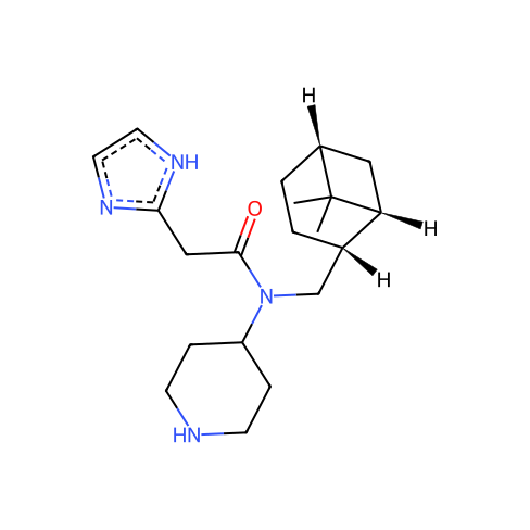 CC1(C)[C@@H]2CC[C@@H](CN(C(=O)Cc3ncc[nH]3)C3CCNCC3)[C@H]1C2